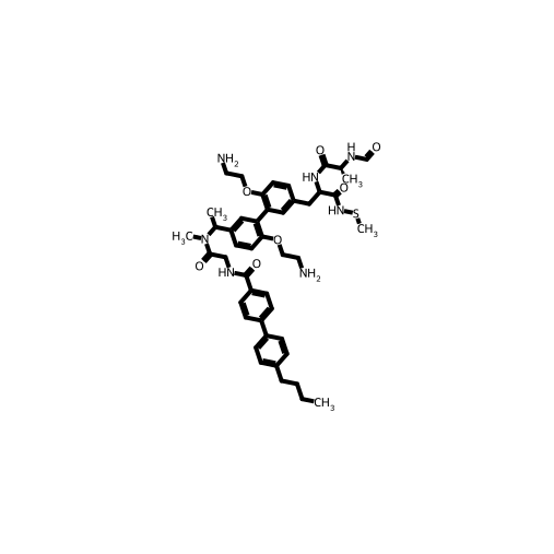 CCCCc1ccc(-c2ccc(C(=O)NCC(=O)N(C)C(C)c3ccc(OCCN)c(-c4cc(CC(NC(=O)[C@H](C)NC=O)C(=O)NSC)ccc4OCCN)c3)cc2)cc1